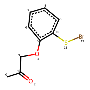 CC(=O)COc1ccccc1SBr